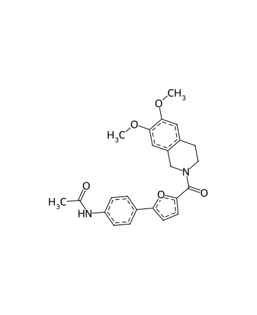 COc1cc2c(cc1OC)CN(C(=O)c1ccc(-c3ccc(NC(C)=O)cc3)o1)CC2